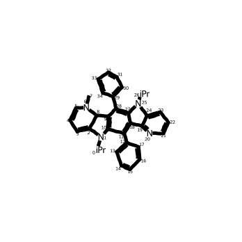 CC(C)N1C2=CC=CN(C)C2c2c1c(-c1ccccc1)c1c3ncccc3n(C(C)C)c1c2-c1ccccc1